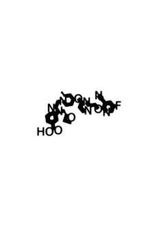 C[C@H]1C[C@@H](Oc2ccnc(COc3ncc(F)cc3C#N)n2)CCN1Cc1nc2ccc(C(=O)O)cc2n1C[C@@H]1CCO1